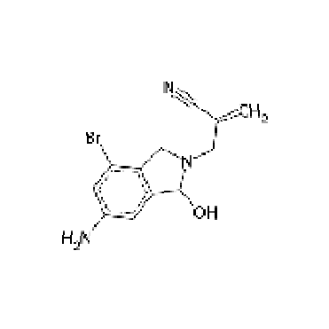 C=C(C#N)CN1Cc2c(Br)cc(N)cc2C1O